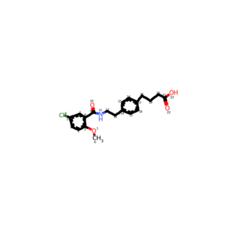 COc1ccc(Cl)cc1C(=O)NCCc1ccc(CCCC(=O)O)cc1